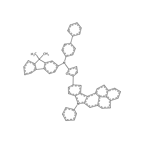 CC1(C)c2ccccc2-c2ccc(N(c3ccc(-c4ccccc4)cc3)c3ccc(-c4ccc5c(c4)c4c6ccc7cccc8ccc(cc4n5-c4ccccc4)c6c87)o3)cc21